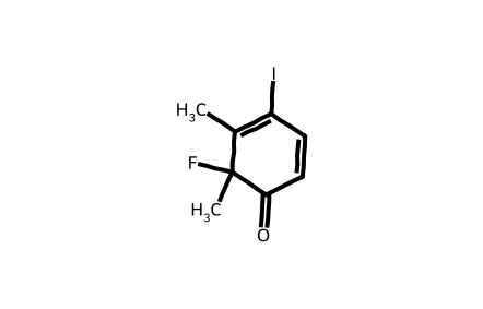 CC1=C(I)C=CC(=O)C1(C)F